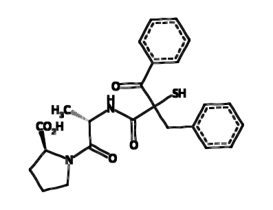 C[C@H](NC(=O)C(S)(Cc1ccccc1)C(=O)c1ccccc1)C(=O)N1CCC[C@H]1C(=O)O